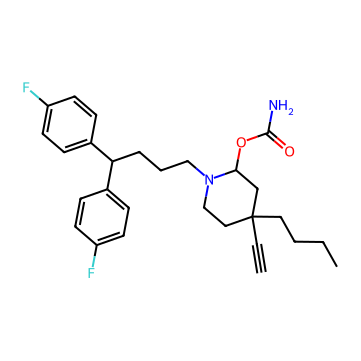 C#CC1(CCCC)CCN(CCCC(c2ccc(F)cc2)c2ccc(F)cc2)C(OC(N)=O)C1